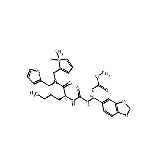 CCCC[C@H](NC(=O)N[C@H](CC(=O)OC)c1ccc2c(c1)OCO2)C(=O)N(CC1=CC=CS1(C)I)Cc1cccs1